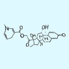 CC1C[C@H]2[C@@H]3CCC4=CC(=O)C=C[C@]4(C)[C@@]3(F)[C@@H](O)C[C@]2(C)[C@@]1(O)C(=O)COC(=O)C1=CN(C)C=CC1